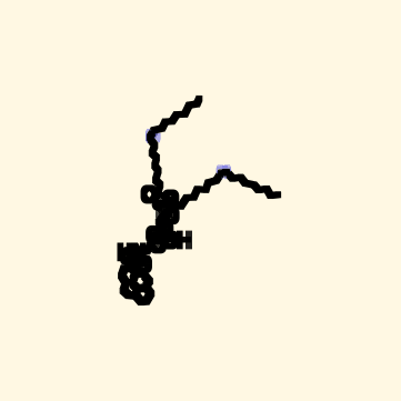 CCCCCCCC/C=C\CCCCCCCC(=O)OC[C@H](COP(=O)(O)OCCNS(=O)(=O)c1ccc2ccc3cccc4ccc1c2c34)OC(=O)CCCCCCC/C=C\CCCCCCCC